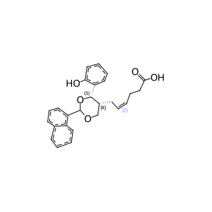 O=C(O)CC/C=C\C[C@@H]1COC(c2cccc3ccccc23)O[C@@H]1c1ccccc1O